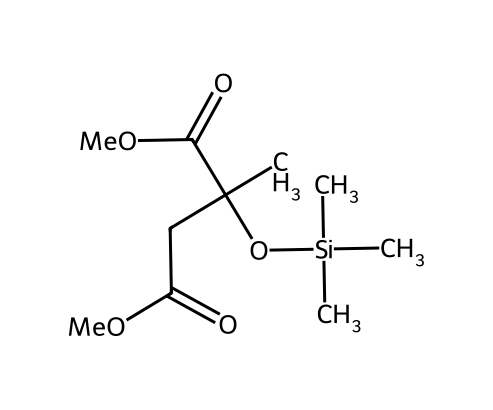 COC(=O)CC(C)(O[Si](C)(C)C)C(=O)OC